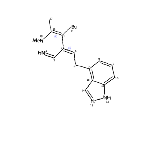 CCC(C)C(/C(C=N)=C/Cc1cccc2[nH]ncc12)=C(\C)NC